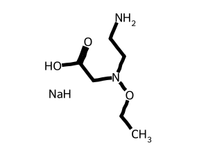 CCON(CCN)CC(=O)O.[NaH]